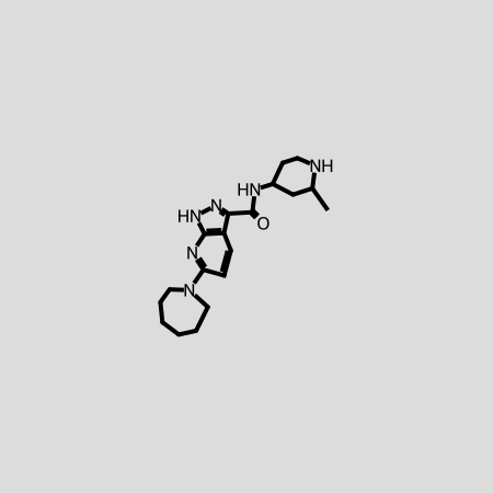 CC1CC(NC(=O)c2n[nH]c3nc(N4CCCCCC4)ccc23)CCN1